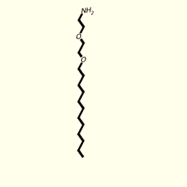 CCCCCCCCCCCCOCCOCCN